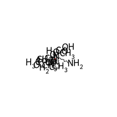 C=C(C)[C@@H]1CC[C@]2(C(=O)N(CCCCCCCN)C(=O)CC(C)(C)CC(=O)O)CC[C@]3(C)[C@H](CCC4[C@@]5(C)CCC(=O)C(C)(C)[C@@H]5CC[C@]43C)[C@@H]12